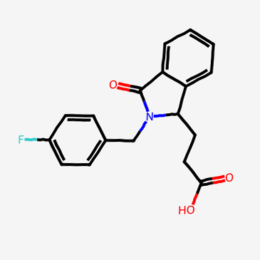 O=C(O)CCC1c2ccccc2C(=O)N1Cc1ccc(F)cc1